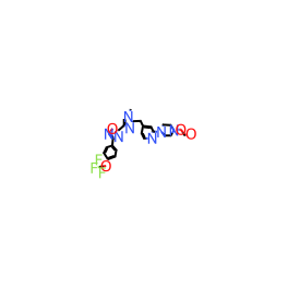 Cn1cc(-c2nc(-c3ccc(OC(F)(F)F)cc3)no2)nc1Cc1ccnc(N2CCN(OC=O)CC2)c1